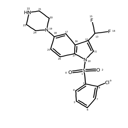 O=S(=O)(c1ccccc1Cl)n1cc(C(F)F)c2cc(N3CCNCC3)ccc21